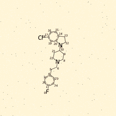 Fc1ccc(CCN2CCC(N3CCc4ccc(Cl)cc43)CC2)cc1